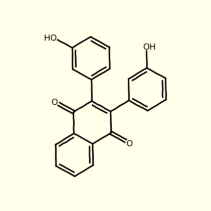 O=C1C(c2cccc(O)c2)=C(c2cccc(O)c2)C(=O)c2ccccc21